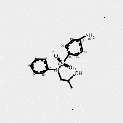 CC(O)CN(c1ccccc1)S(=O)(=O)c1ccc(N)cc1